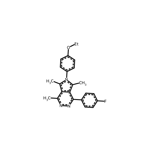 CCOc1ccc(-n2c(C)c3c(C)nnc(-c4ccc(F)cc4)c3c2C)cc1